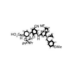 COc1ccc(CN(c2nc(Nc3cc(C#N)cc(N4CC[C@@H](NC(=O)O)[C@@H](O[Si](C(C)C)(C(C)C)C(C)C)C4)c3Cl)nn3c(C#N)cnc23)C2CC2)cc1